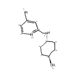 CC(C)c1cc(N[C@H]2CC[C@H](O)CC2)ncn1